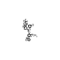 CCc1nc(N2CCCS2(=O)=O)ccc1OCC(=O)N1CCc2nc3sc(C(F)(F)F)nn3c2[C@@H]1c1ccc(Cl)cc1F